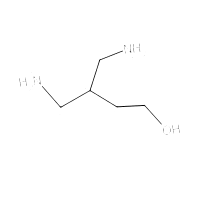 NCC(CN)CCO